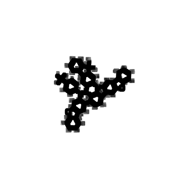 CC(C)(C)c1ccc(N2B3c4cc5c(cc4-n4c6cc7c(cc6c6ccc(c3c64)-c3cc4c(cc32)oc2ccccc24)oc2ccccc27)C(C)(C)c2ccccc2-5)cc1